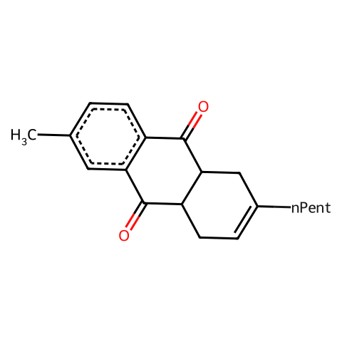 CCCCCC1=CCC2C(=O)c3cc(C)ccc3C(=O)C2C1